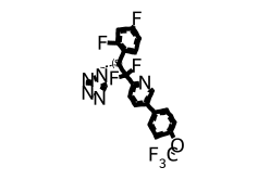 Fc1ccc([C@@H](Cn2cnnn2)C(F)(F)c2ccc(-c3ccc(OC(F)(F)F)cc3)cn2)c(F)c1